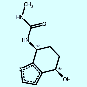 CNC(=O)N[C@H]1CC[C@@H](O)c2ccsc21